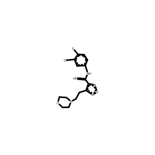 N=C(Nc1ccc(F)c(Cl)c1)c1nonc1CCN1CCOCC1